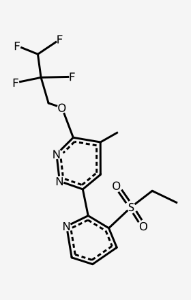 CCS(=O)(=O)c1cccnc1-c1cc(C)c(OCC(F)(F)C(F)F)nn1